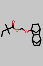 CCC(C)(C)C(=O)OCOC12CCC(C1)C1C3CCC(C3)C12